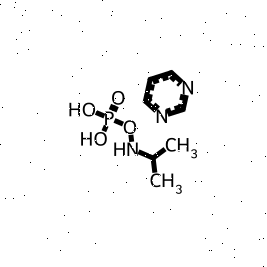 CC(C)NOP(=O)(O)O.c1cncnc1